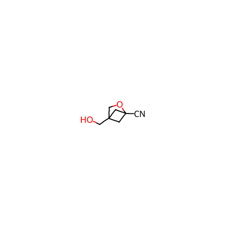 N#CC12CC(CO)(CO1)C2